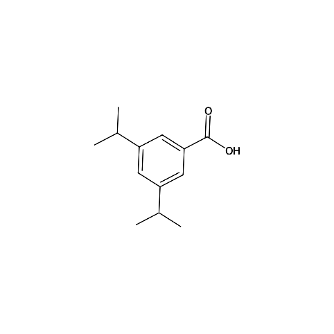 CC(C)c1cc(C(=O)O)cc(C(C)C)c1